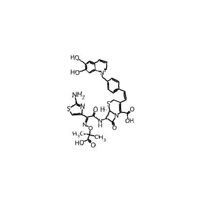 CC(C)(O/N=C(\C(=O)N[C@@H]1C(=O)N2C(C(=O)O)=C(/C=C\c3ccc(C[n+]4cccc5cc(O)c(O)cc54)cc3)CS[C@H]12)c1csc(N)n1)C(=O)O